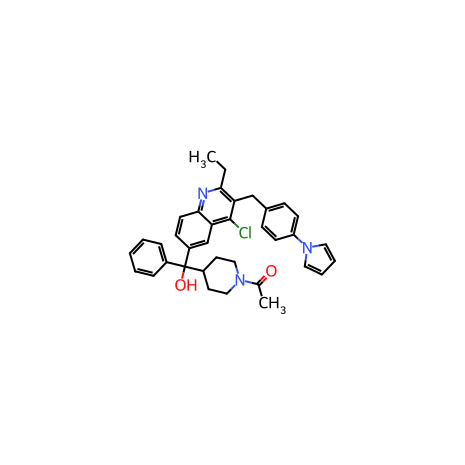 CCc1nc2ccc(C(O)(c3ccccc3)C3CCN(C(C)=O)CC3)cc2c(Cl)c1Cc1ccc(-n2cccc2)cc1